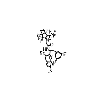 CSc1nc2nc(C(Cc3cc(F)cc(F)c3)NC(=O)Cn3nc(C(F)(F)F)c4c3C(F)(F)[C@@H]3C#C[C@H]43)c(Br)cc2s1